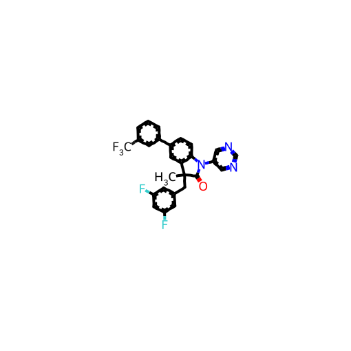 CC1(Cc2cc(F)cc(F)c2)C(=O)N(c2cncnc2)c2ccc(-c3cccc(C(F)(F)F)c3)cc21